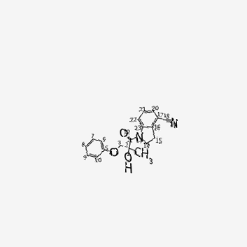 CC(O)(COc1ccccc1)C(=O)N1CCc2c(C#N)cccc21